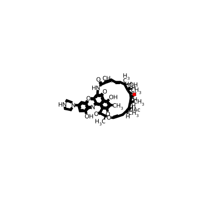 CC(=O)O[C@H]1[C@H](C)[C@H](I)[C@H](C)[C@@H](O)[C@@H](C)/C=C/C=C(/C)C(=O)Nc2c3oc4cc(N5CCNCC5)cc(O)c4nc-3c3c4c(c(C)c(O)c3c2=O)O[C@](C)(O/C=C/C[C@H]1C)C4=O